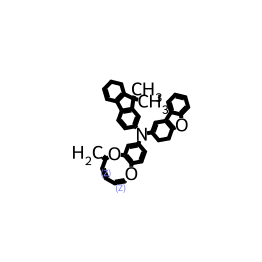 C=C1/C=C\C=C/Oc2ccc(N(C3=Cc4c(oc5ccccc45)CC3)c3ccc4c(c3)C(C)(C)C3=C4C=CCC3)cc2O1